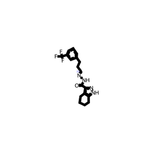 O=C(N/N=C/CCc1cccc(C(F)(F)F)c1)c1n[nH]c2c1CCCC2